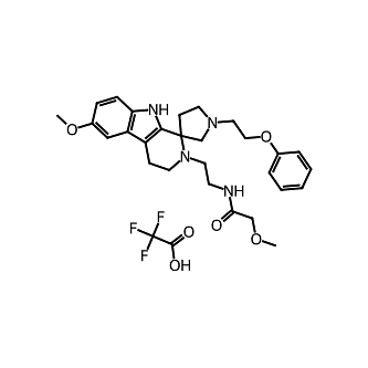 COCC(=O)NCCN1CCc2c([nH]c3ccc(OC)cc23)C12CCN(CCOc1ccccc1)C2.O=C(O)C(F)(F)F